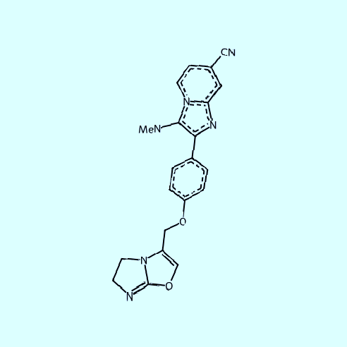 CNc1c(-c2ccc(OCC3=COC4=NCCN34)cc2)nc2cc(C#N)ccn12